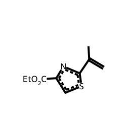 C=C(C)c1nc(C(=O)OCC)cs1